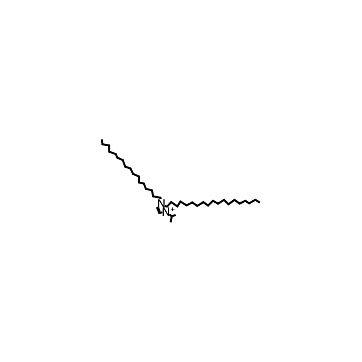 CCCCCCCCCCCCCCCCCCc1n(CCCCCCCCCCCCCCCCC)cc[n+]1C(C)C